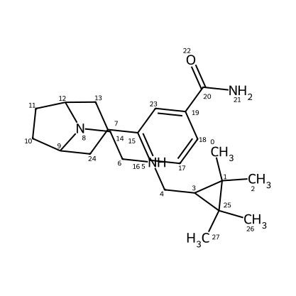 CC1(C)C(CNCCN2C3CCC2CC(c2cccc(C(N)=O)c2)C3)C1(C)C